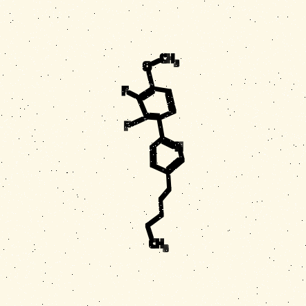 CCCCCc1ccc(-c2ccc(OC)c(F)c2F)nc1